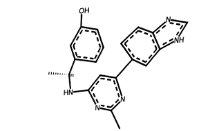 Cc1nc(N[C@H](C)c2cccc(O)c2)cc(-c2ccc3nc[nH]c3c2)n1